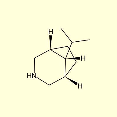 CC(C)[C@@H]1[C@@H]2CC[C@H]1CNC2